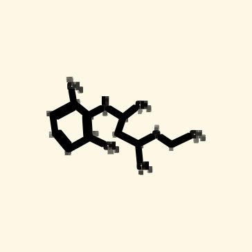 CCOC(C)CC(C)Nc1c(C)cccc1C